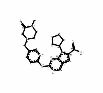 CN1CCN(Cc2ccc(Nc3ncc4cc(C(=O)O)n(C5CCCC5)c4n3)nc2)CC1=O